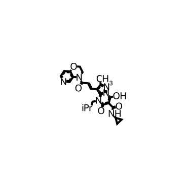 Cc1nn2c(O)c(C(=O)NC3CC3)c(=O)n(CC(C)C)c2c1C=CC(=O)N1CCOc2ccncc21